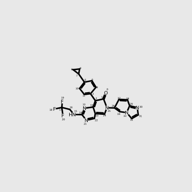 O=c1c(-c2ccc(C3CC3)cc2)c2nc(NCC(F)(F)F)ncc2cn1-c1ccc2nccn2c1